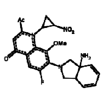 COc1c(N2CC3C=CC=CC3(N)C2)c(F)cc2c(=O)cc(C(C)=O)n(C3CC3[N+](=O)[O-])c12